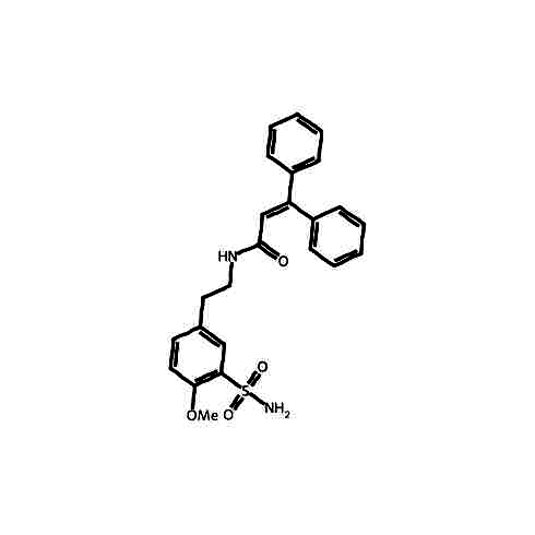 COc1ccc(CCNC(=O)C=C(c2ccccc2)c2ccccc2)cc1S(N)(=O)=O